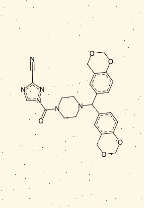 N#Cc1ncn(C(=O)N2CCN(C(c3ccc4c(c3)COCO4)c3ccc4c(c3)COCO4)CC2)n1